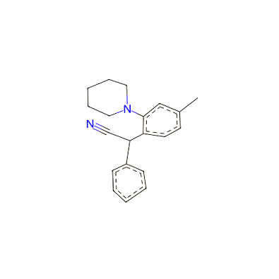 Cc1ccc(C(C#N)c2ccccc2)c(N2CCCCC2)c1